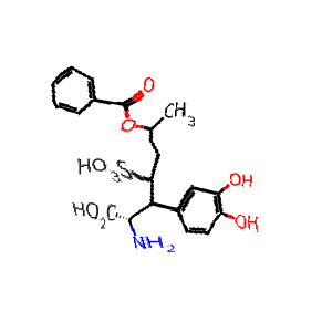 CC(CC(C(c1ccc(O)c(O)c1)[C@H](N)C(=O)O)S(=O)(=O)O)OC(=O)c1ccccc1